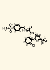 NS(=O)(=O)c1ccc(CNC(=O)COc2cc(C(F)(F)F)nn2-c2ccccc2Cl)cc1